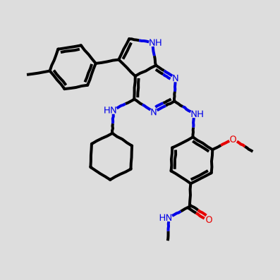 CNC(=O)c1ccc(Nc2nc(NC3CCCCC3)c3c(-c4ccc(C)cc4)c[nH]c3n2)c(OC)c1